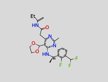 C=C(CC)NC(=O)Cc1nc(C)nc(N[C@H](C)c2cccc(C(F)F)c2F)c1C1OCCO1